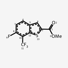 COC(=O)c1cc2ccc(F)c(C(F)(F)F)c2s1